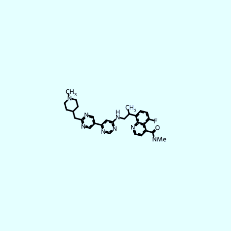 CNC(=O)c1ccnc2c(C(C)CNc3cc(-c4cnc(CC5CCN(C)CC5)nc4)ncn3)ccc(F)c12